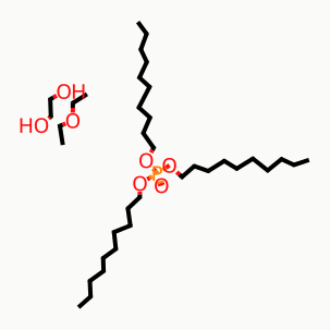 CCCCCCCCCCOP(=O)(OCCCCCCCCCC)OCCCCCCCCCC.CCOCC.OCCO